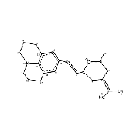 CC1CC(=C(C#N)C#N)CC(/C=C/c2cc3c4c(c2)CCCN4CCC3)O1